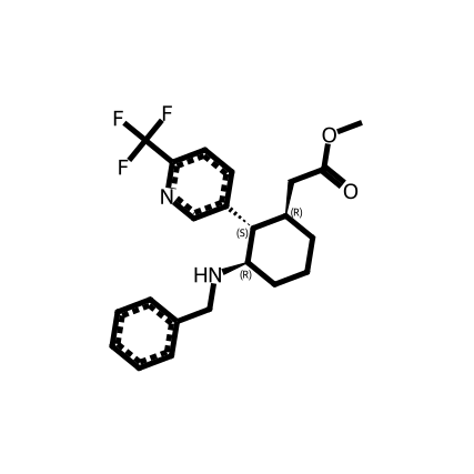 COC(=O)C[C@H]1CCC[C@@H](NCc2ccccc2)[C@@H]1c1ccc(C(F)(F)F)nc1